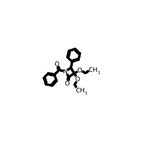 CCOC1(OCC)C(=O)N(C(=O)c2ccccc2)C1c1ccccc1